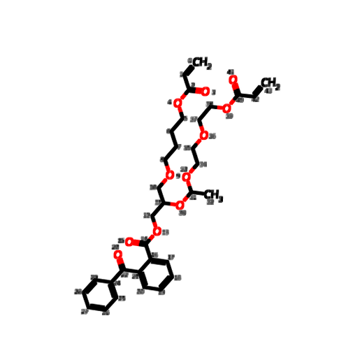 C=CC(=O)OCCCCOCC(COC(=O)c1ccccc1C(=O)c1ccccc1)OC(C)OCCOCCOC(=O)C=C